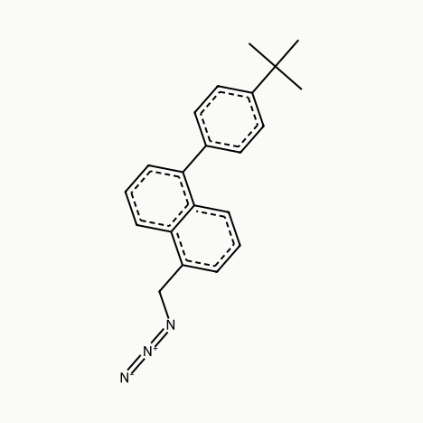 CC(C)(C)c1ccc(-c2cccc3c(CN=[N+]=[N-])cccc23)cc1